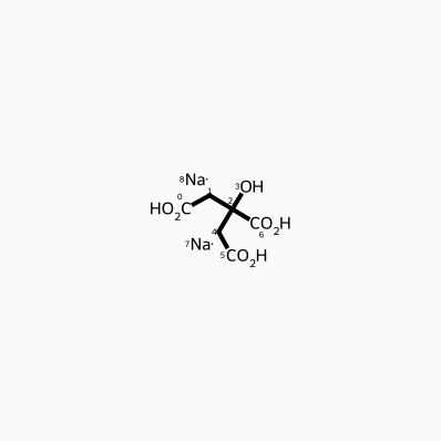 O=C(O)CC(O)(CC(=O)O)C(=O)O.[Na].[Na]